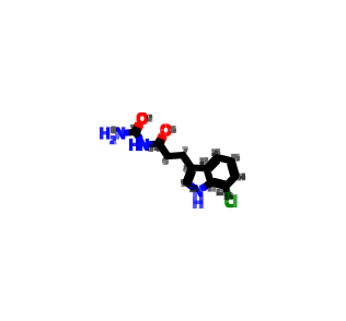 NC(=O)NC(=O)CCc1c[nH]c2c(Cl)cccc12